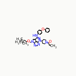 C=CC(=O)N1CCC(N2N=C(Nc3ccc(Oc4ccccc4)cc3)c3cn(COCC[Si](C)(C)C)c4ncnc2c34)CC1